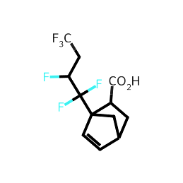 O=C(O)C1CC2C=CC1(C(F)(F)C(F)CC(F)(F)F)C2